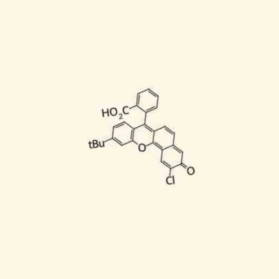 CC(C)(C)c1ccc2c(-c3ccccc3C(=O)O)c3ccc4cc(=O)c(Cl)cc4c3oc2c1